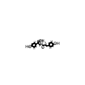 COC(CNC(=O)C=Cc1ccc(O)cc1)c1ccc(O)cc1